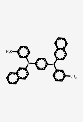 Cc1cccc(N(c2ccc(N(c3cccc(C)c3)c3ccc4ccccc4c3)cc2)c2ccc3ccccc3c2)c1